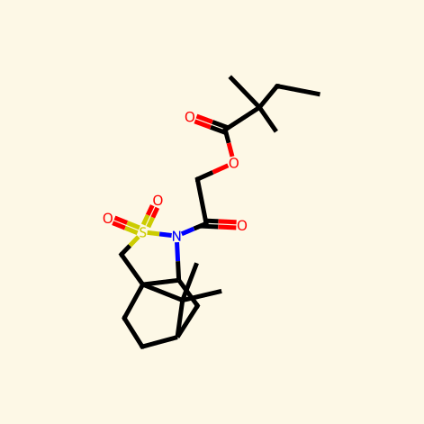 CCC(C)(C)C(=O)OCC(=O)N1C2CC3CCC2(CS1(=O)=O)C3(C)C